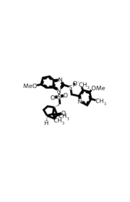 COc1ccc2nc([S+]([O-])Cc3ncc(C)c(OC)c3C)n(S(=O)(=O)C[C@]34CC[C@H](CC3=O)C4(C)C)c2c1